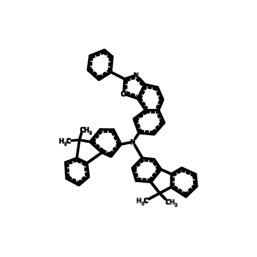 CC1(C)c2ccccc2-c2cc(N(c3ccc4c(c3)-c3ccccc3C4(C)C)c3ccc4ccc5nc(-c6ccccc6)oc5c4c3)ccc21